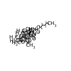 CCCCCOC(=O)Nc1nc(=O)n([C@@H]2O[C@H](C)[C@@H](O[Si](C)(C)C(C)(C)C)[C@H]2O[Si](C)(C)C(C)(C)C)cc1I